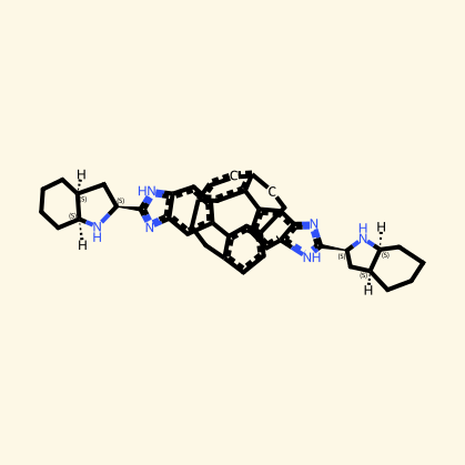 c1cc2c(-c3ccc4[nH]c([C@@H]5C[C@@H]6CCCC[C@@H]6N5)nc4c3)cc1CCc1ccc(cc1-c1ccc3[nH]c([C@@H]4C[C@@H]5CCCC[C@@H]5N4)nc3c1)CC2